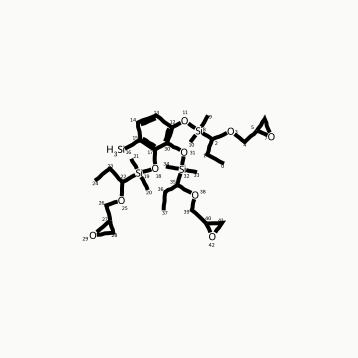 CCC(OCC1CO1)[Si](C)(C)Oc1ccc([SiH3])c(O[Si](C)(C)C(CC)OCC2CO2)c1O[Si](C)(C)C(CC)OCC1CO1